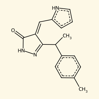 Cc1ccc(C(C)C2=NNC(=O)/C2=C/c2ccc[nH]2)cc1